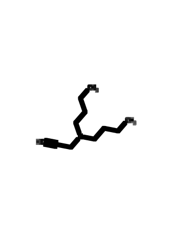 C#CCN(CCCC)CCCC